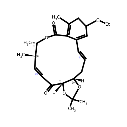 CCOC1C=C2/C=C/C[C@@H]3OC(C)(C)O[C@@H]3C(=O)/C=C\[C@@H](C)[C@H](C)OC(=O)C2=C(C)C1